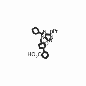 CCCc1nnc(O)c2c1nc(C1CCCCC1)n2Cc1ccc(-c2ccccc2C(=O)O)cc1